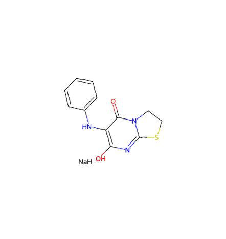 O=c1c(Nc2ccccc2)c(O)nc2n1CCS2.[NaH]